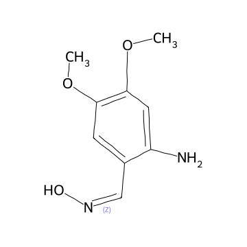 COc1cc(N)c(/C=N\O)cc1OC